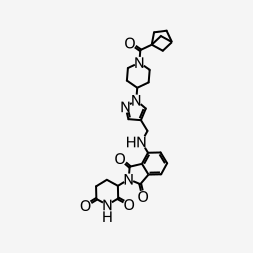 O=C1CCC(N2C(=O)c3cccc(NCc4cnn(C5CCN(C(=O)C67CCC(C6)C7)CC5)c4)c3C2=O)C(=O)N1